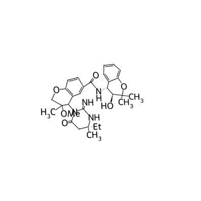 CC[C@]1(C)CC(=O)N(C2c3cc(C(=O)N[C@@H]4c5ccccc5OC(C)(C)[C@H]4O)ccc3OCC2(C)OC)C(=N)N1